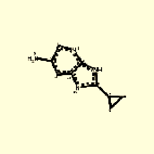 Nc1cnc2[nH]c(C3CC3)nc2c1